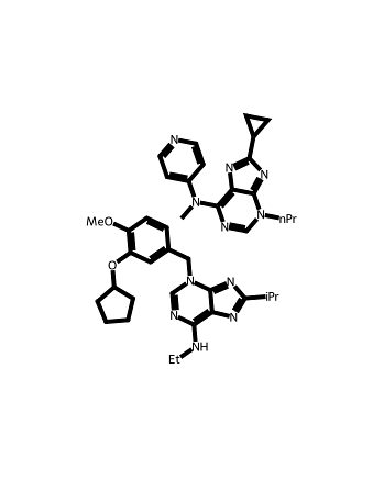 CCCn1cnc(N(C)c2ccncc2)c2nc(C3CC3)nc1-2.CCNc1ncn(Cc2ccc(OC)c(OC3CCCC3)c2)c2nc(C(C)C)nc1-2